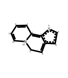 C1=CC2=c3sccc3=CCN2C=C1